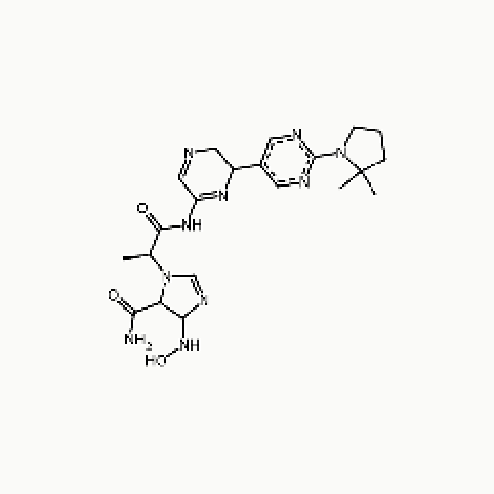 C[C@@H](C(=O)NC1=NC(c2cnc(N3CCCC3(C)C)nc2)CN=C1)N1C=NC(NO)C1C(N)=O